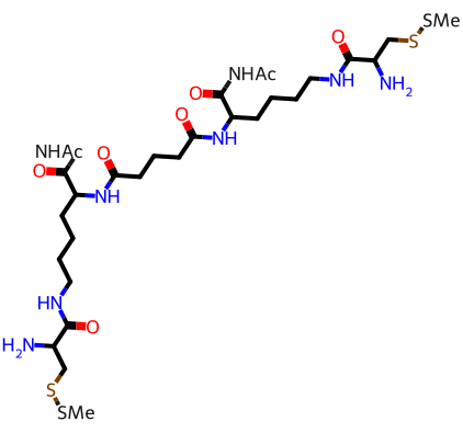 CSSCC(N)C(=O)NCCCCC(NC(=O)CCCC(=O)NC(CCCCNC(=O)C(N)CSSC)C(=O)NC(C)=O)C(=O)NC(C)=O